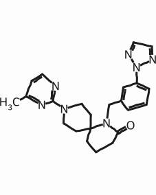 Cc1ccnc(N2CCC3(CCCC(=O)N3Cc3cccc(-n4nccn4)c3)CC2)n1